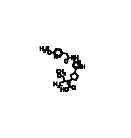 COC[C@H](C)N(C(=O)O)[C@@H]1CC[C@H](c2cc(NC(=O)Cc3ccc(OC)nc3)n[nH]2)C1